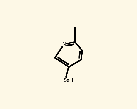 Cc1ccc([SeH])cn1